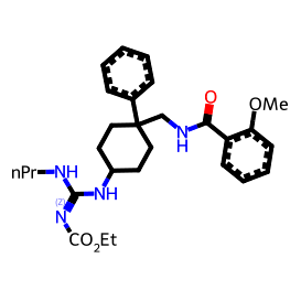 CCCN/C(=N/C(=O)OCC)NC1CCC(CNC(=O)c2ccccc2OC)(c2ccccc2)CC1